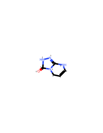 O=c1[nH]nc2n1CC=CN2